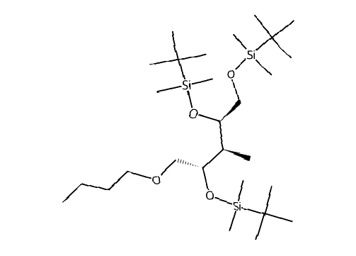 CCCCOC[C@@H](O[Si](C)(C)C(C)(C)C)[C@H](C)[C@H](CO[Si](C)(C)C(C)(C)C)O[Si](C)(C)C(C)(C)C